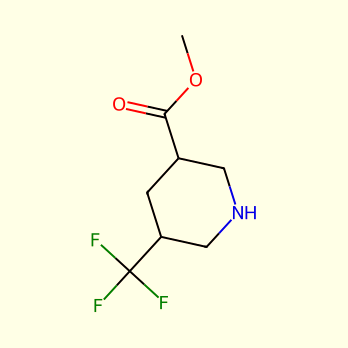 COC(=O)C1CNCC(C(F)(F)F)C1